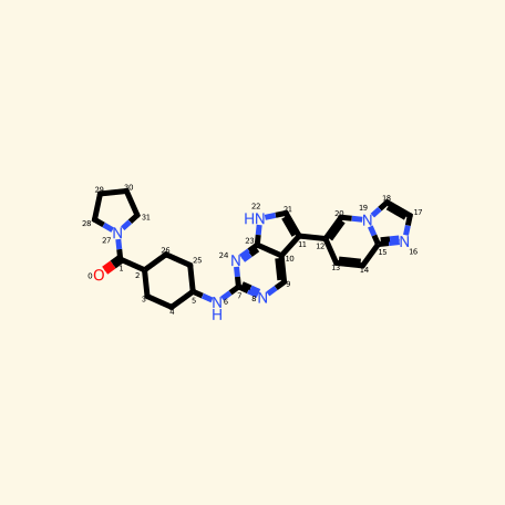 O=C(C1CCC(Nc2ncc3c(-c4ccc5nccn5c4)c[nH]c3n2)CC1)N1CCCC1